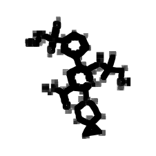 CC(C)(C)NS(=O)(=O)c1cccc(-c2cc(C(N)=O)c(N3CCC4(CC3)CC4)nc2NC(C)(C)CO)c1